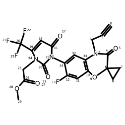 C#CCN1C(=O)C2(CC2)Oc2cc(F)c(-n3c(=O)cc(C(F)(F)F)n(CC(=O)OC)c3=O)cc21